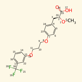 CO[C@@H](Cc1ccc(OCCCOc2cccc(C(F)(F)F)c2)cc1)C(=O)O